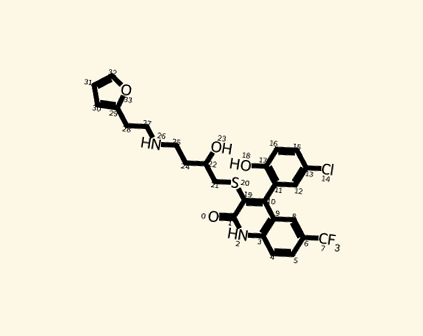 O=c1[nH]c2ccc(C(F)(F)F)cc2c(-c2cc(Cl)ccc2O)c1SCC(O)CCNCCc1ccco1